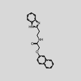 O=C(COc1ccc2ccccc2c1)NCCc1nc2ccccc2[nH]1